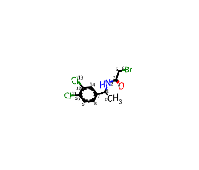 C[C@H](NC(=O)CBr)c1ccc(Cl)c(Cl)c1